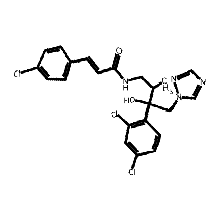 CC(CNC(=O)/C=C/c1ccc(Cl)cc1)C(O)(Cn1cncn1)c1ccc(Cl)cc1Cl